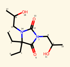 CCC1(CC)C(=O)N(CC(C)O)C(=O)N1CC(C)O